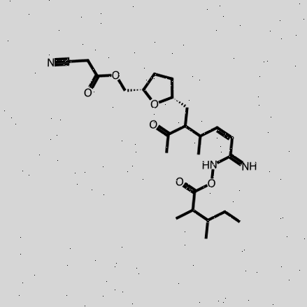 CCC(C)C(C)C(=O)ONC(=N)/C=C\C(C)C(C[C@H]1CC[C@@H](COC(=O)CC#N)O1)C(C)=O